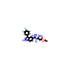 CCOC(=O)CC(=N)NC(=N)c1ccc2[nH]nc(-c3ccc(F)cc3)c2c1